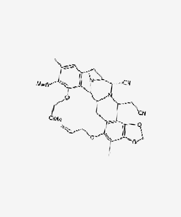 C=CCOc1c(C)c2c(c3c1CC1C4c5c(cc(C)c(OC)c5OCOC)CC([C@H](C#N)N1C3CC#N)N4C)OCO2